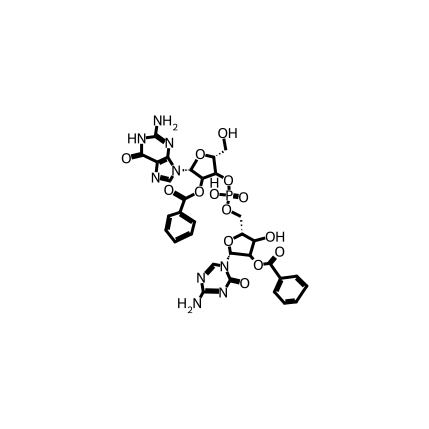 Nc1ncn([C@@H]2O[C@H](COP(=O)(O)OC3C(OC(=O)c4ccccc4)[C@H](n4cnc5c(=O)[nH]c(N)nc54)O[C@@H]3CO)C(O)C2OC(=O)c2ccccc2)c(=O)n1